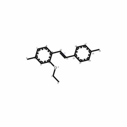 CCOc1cc(C)ccc1/C=C/c1ccc(C)cc1